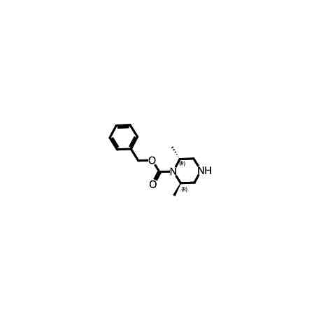 C[C@@H]1CNC[C@@H](C)N1C(=O)OCc1ccccc1